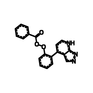 O=C(OOc1ccccc1-c1cc[nH]c2nncc1-2)c1ccccc1